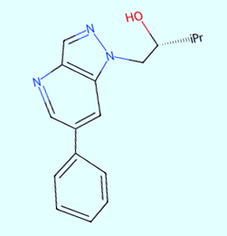 CC(C)[C@@H](O)Cn1ncc2ncc(-c3ccccc3)cc21